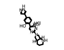 Cl.Cl.Oc1cc(-c2cn[nH]c2)ccc1-c1cnc(N2C[C@@H]3CCCN[C@@H]3C2)nn1